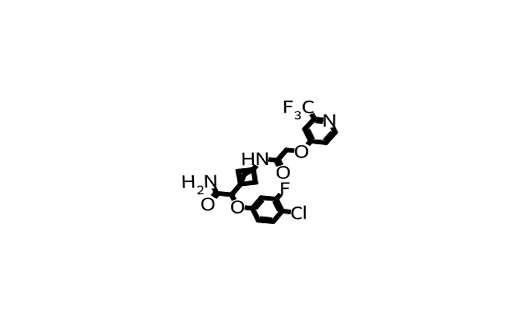 NC(=O)C(Oc1ccc(Cl)c(F)c1)C12CC(NC(=O)COc3ccnc(C(F)(F)F)c3)(C1)C2